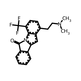 CN(C)CCc1ccc(C(F)(F)F)c2c1cc1n2C(=O)c2ccccc2-1